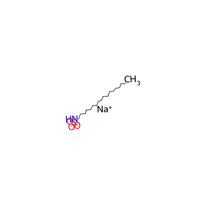 CCCCCCCCCCCCCCCCCCNS(=O)(=O)[O-].[Na+]